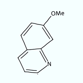 COc1ccc2cc[c]nc2c1